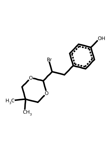 CC1(C)COC(C(Br)Cc2ccc(O)cc2)OC1